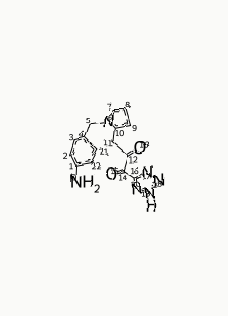 Nc1ccc(Cn2cccc2CC(=O)C(=O)c2nn[nH]n2)cc1